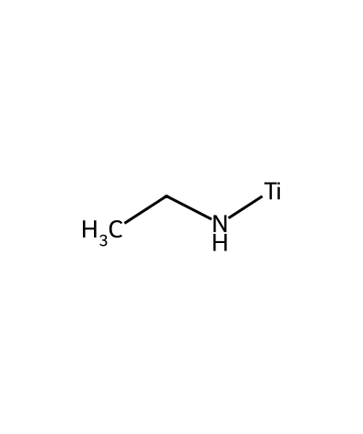 CC[NH][Ti]